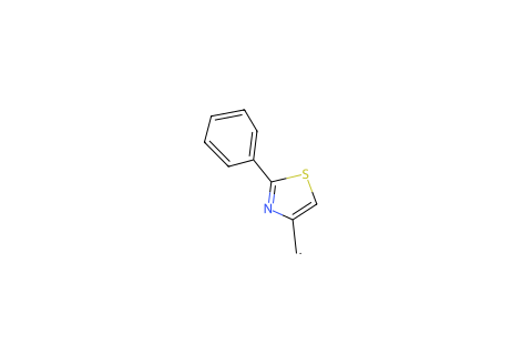 [CH2]c1csc(-c2ccccc2)n1